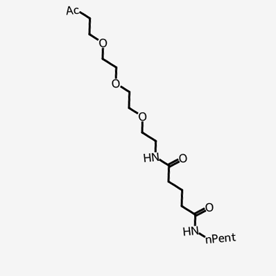 CCCCCNC(=O)CCCC(=O)NCCOCCOCCOCCC(C)=O